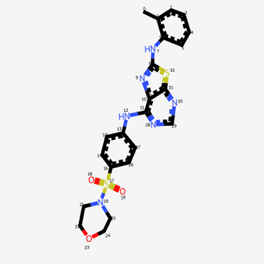 Cc1ccccc1Nc1nc2c(Nc3ccc(S(=O)(=O)N4CCOCC4)cc3)ncnc2s1